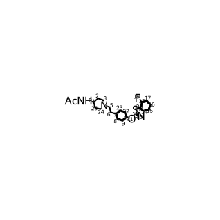 CC(=O)NC1CCN(CCc2ccc(Oc3nc4cccc(F)c4s3)cc2)CC1